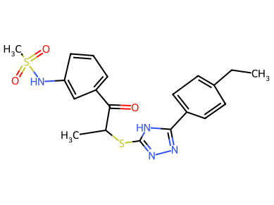 CCc1ccc(-c2nnc(SC(C)C(=O)c3cccc(NS(C)(=O)=O)c3)[nH]2)cc1